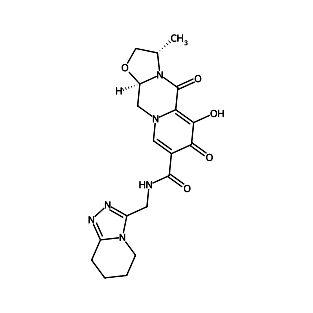 C[C@H]1CO[C@@H]2Cn3cc(C(=O)NCc4nnc5n4CCCC5)c(=O)c(O)c3C(=O)N12